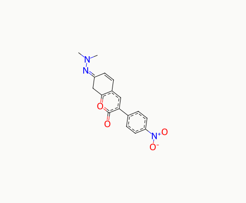 CN(C)N=C1C=Cc2cc(-c3ccc([N+](=O)[O-])cc3)c(=O)oc2C1